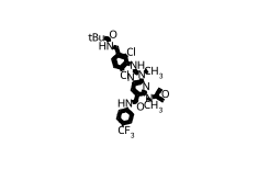 CN(c1nc2c(cc1C(=O)N[C@H]1CC[C@H](C(F)(F)F)CC1)nc(Nc1c(Cl)ccc(CNC(=O)C(C)(C)C)c1Cl)n2C)C1COC1